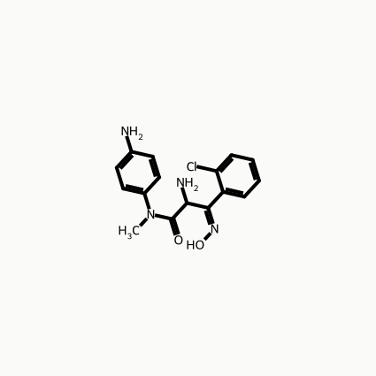 CN(C(=O)C(N)C(=NO)c1ccccc1Cl)c1ccc(N)cc1